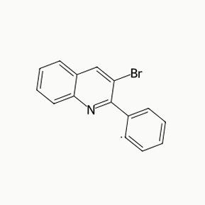 Brc1cc2ccccc2nc1-c1[c]cccc1